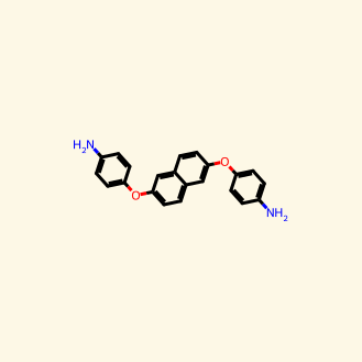 Nc1ccc(Oc2ccc3cc(Oc4ccc(N)cc4)ccc3c2)cc1